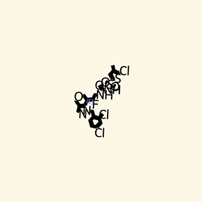 Cc1cc(S(=O)(=O)NC(=O)NC/C(F)=C2\COCc3cnn(Cc4ccc(Cl)cc4Cl)c32)sc1Cl